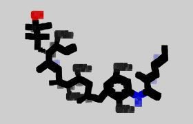 C=C[C@H](OC)[C@@H](CC(C)(C)[Si](C)(C)O)/C(C)=C/[C@H](C)[C@@H](OC)[C@H](C[C@H](C)Cc1cc(OC)cc(NC(=C)/C(C)=C/C=C/C)c1OC)OC